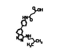 CC(C)CCNc1ncnc2ccc(-c3ccc(NC(=O)CCC(=O)O)cc3)cc12